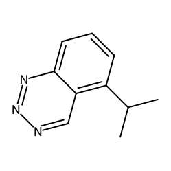 CC(C)c1cccc2nnncc12